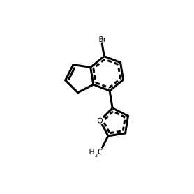 Cc1ccc(-c2ccc(Br)c3c2CC=C3)o1